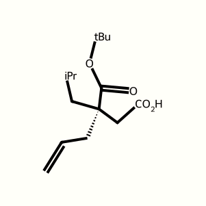 C=CC[C@](CC(=O)O)(CC(C)C)C(=O)OC(C)(C)C